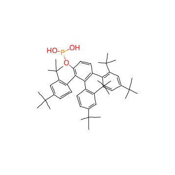 CC(C)(C)c1ccc(-c2ccc(OP(O)O)c(-c3ccc(C(C)(C)C)cc3C(C)(C)C)c2-c2ccc(C(C)(C)C)cc2C(C)(C)C)c(C(C)(C)C)c1